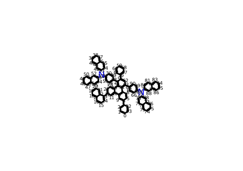 c1ccc(-c2ccc3c(c2)c2cc(-c4cccc5ccccc45)ccc2c2c(-c4ccc(N(c5ccc6ccccc6c5)c5ccc6ccccc6c5)cc4)c(-c4ccccc4)cc(-c4ccc(N(c5ccc6ccccc6c5)c5ccc6ccccc6c5)cc4)c32)cc1